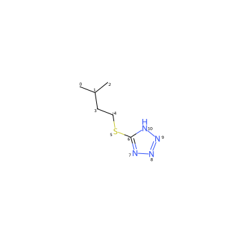 CC(C)C[CH]Sc1nnn[nH]1